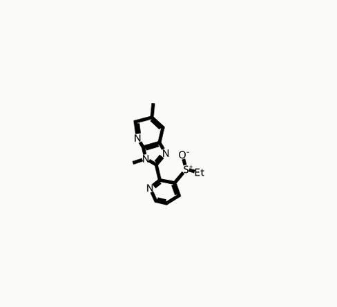 CC[S+]([O-])c1cccnc1-c1nc2cc(C)cnc2n1C